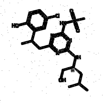 CC(C)C[C@H](CO)Nc1nc(CC(C)c2cc(Cl)ccc2O)nc(NS(C)(=O)=O)n1